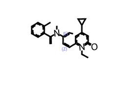 C=C(c1ccccc1C)N(C)C(/C=C\c1cc(C2CC2)cc(=O)n1CC)=C/C